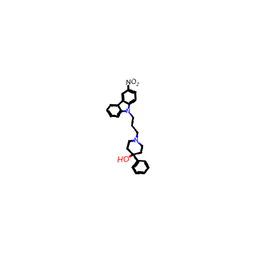 O=[N+]([O-])c1ccc2c(c1)c1ccccc1n2CCCN1CCC(O)(c2ccccc2)CC1